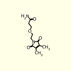 CC1=C(C)C(=O)N(CCOCCC(N)=O)C1=O